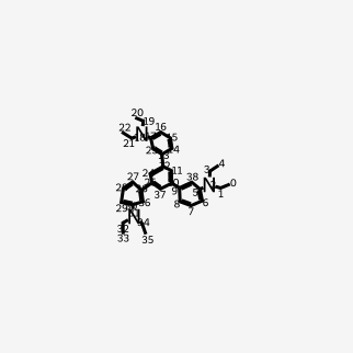 CCN(CC)c1cccc(-c2cc(-c3cccc(N(CC)CC)c3)cc(-c3cccc(N(CC)CC)c3)c2)c1